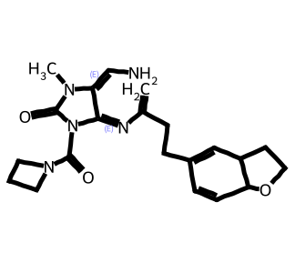 C=C(CCC1=CC2CCOC2C=C1)/N=C1\C(=C/N)N(C)C(=O)N1C(=O)N1CCC1